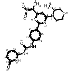 CC(c1cc(N2CCOC[C@@H]2C)nc(-c2ccc(NC(=O)Nc3cccc(=O)[nH]3)cc2)n1)=S(=O)=O